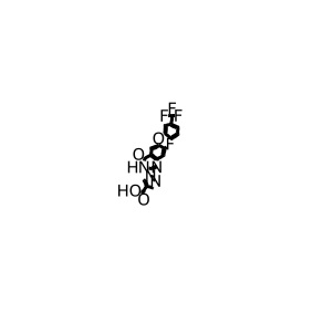 O=C(O)c1cnn(-c2nc3cc(F)c(Oc4cccc(C(F)(F)F)c4)cc3c(=O)[nH]2)c1